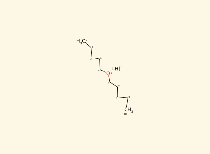 CCCCCOCCCCC.[Hf]